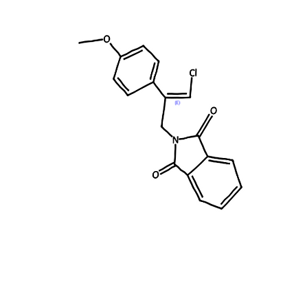 COc1ccc(/C(=C\Cl)CN2C(=O)c3ccccc3C2=O)cc1